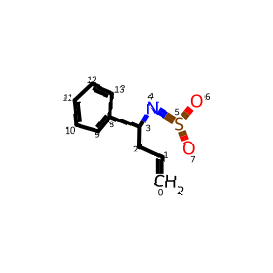 C=CCC(N=S(=O)=O)c1ccccc1